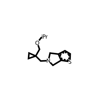 CC(C)OCC1(CN2Cc3ccsc3C2)CC1